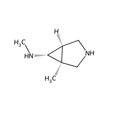 CN[C@@H]1[C@H]2CNC[C@]21C